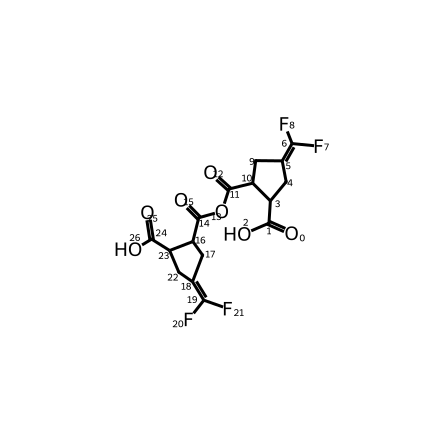 O=C(O)C1CC(=C(F)F)CC1C(=O)OC(=O)C1CC(=C(F)F)CC1C(=O)O